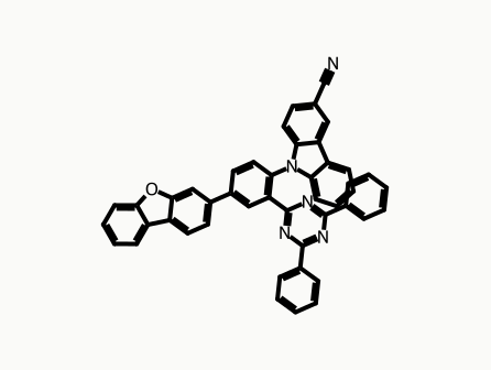 N#Cc1ccc2c(c1)c1ccccc1n2-c1ccc(-c2ccc3c(c2)oc2ccccc23)cc1-c1nc(-c2ccccc2)nc(-c2ccccc2)n1